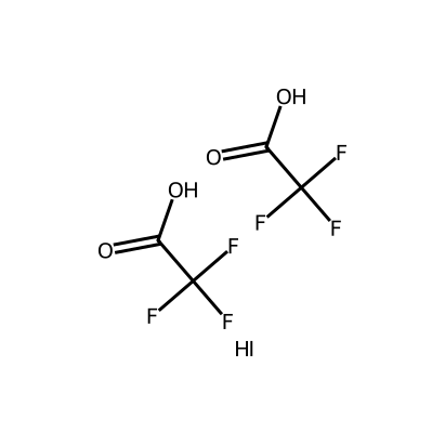 I.O=C(O)C(F)(F)F.O=C(O)C(F)(F)F